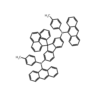 Cc1ccc(N(c2ccc3c(c2)C(c2ccccc2)(c2cccc4ccccc24)c2cc(N(c4ccc(C)cc4)c4c5ccccc5cc5ccccc45)ccc2-3)c2c3ccccc3cc3ccccc23)cc1